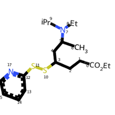 CCOC(=O)CCC(CC(C)N(CC)C(C)C)SSc1ccccn1